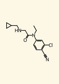 CCN(C(=O)CNCC1CC1)c1ccc(C#N)c(Cl)c1